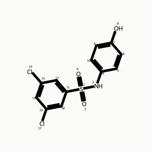 O=S(=O)(Nc1ccc(O)cc1)c1cc(Cl)cc(Cl)c1